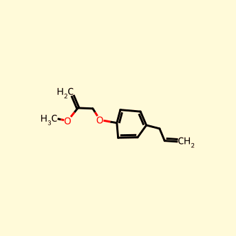 C=CCc1ccc(OCC(=C)OC)cc1